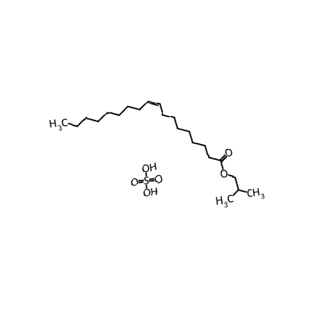 CCCCCCCC/C=C\CCCCCCCC(=O)OCC(C)C.O=S(=O)(O)O